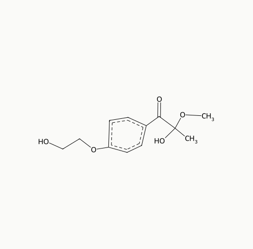 COC(C)(O)C(=O)c1ccc(OCCO)cc1